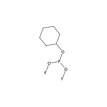 FOP(OF)OC1CCCCC1